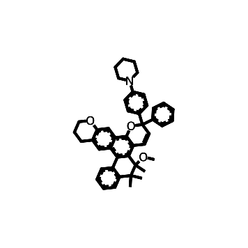 COC1(C)c2c3c(c4cc5c(cc4c2-c2ccccc2C1(C)C)CCCO5)OC(c1ccccc1)(c1ccc(N2CCCCC2)cc1)C=C3